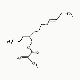 C=C(C)C(=O)OCC(CCC)CCCC/C=C/CC